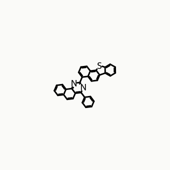 c1ccc(-c2nc(-c3cccc4c3ccc3c5ccccc5sc43)nc3c2ccc2ccccc23)cc1